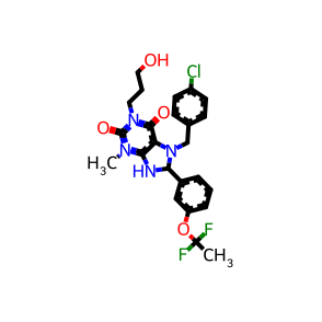 Cn1c2c(c(=O)n(CCCO)c1=O)N(Cc1ccc(Cl)cc1)C(c1cccc(OC(C)(F)F)c1)N2